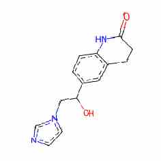 O=C1CCc2cc(C(O)Cn3ccnc3)ccc2N1